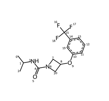 CC(C)NC(=O)N1CC(Oc2cccc(C(F)(F)F)c2)C1